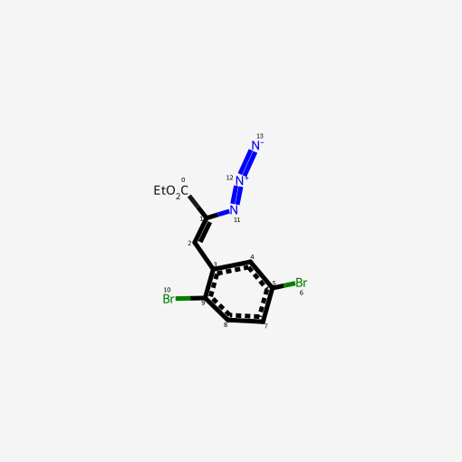 CCOC(=O)C(=Cc1cc(Br)ccc1Br)N=[N+]=[N-]